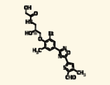 CCc1cc(-c2noc(-c3cc(C)c(C=O)s3)n2)cc(C)c1OC[C@@H](O)CNC(=O)CO